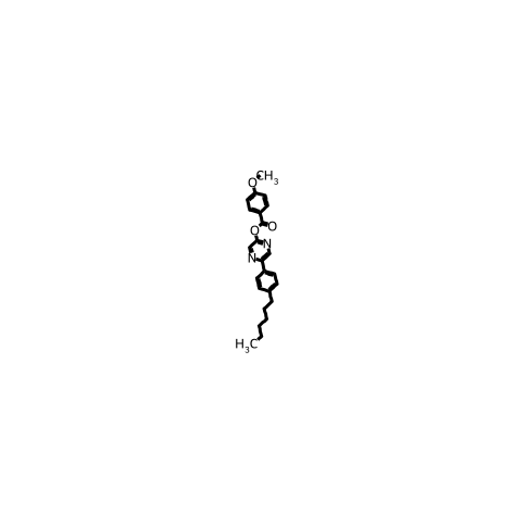 CCCCCCc1ccc(-c2cnc(OC(=O)c3ccc(OC)cc3)cn2)cc1